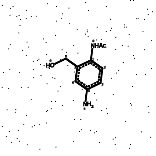 CC(=O)Nc1ccc(N)cc1CO